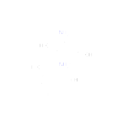 Cc1ccc(C)c(N)c1.Cc1cccc(C)c1N